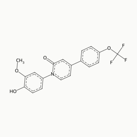 COc1cc(-n2ccc(-c3ccc(OC(F)(F)F)cc3)cc2=O)ccc1O